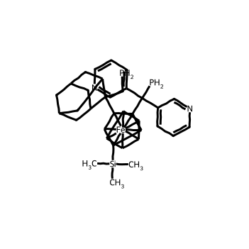 C[Si](C)(C)[C]12[CH]3[C]4(C(P)(c5cccnc5)c5cccnc5)[C]5(C6(CP)C7CC8CC(C7)CC6C8)[CH]1[Fe]34521678[CH]2[CH]1[CH]6[CH]7[CH]28